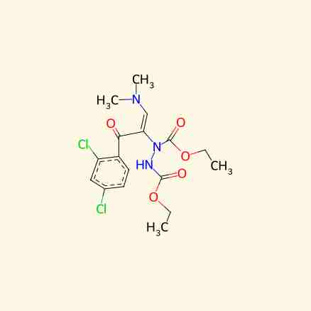 CCOC(=O)NN(C(=O)OCC)/C(=C/N(C)C)C(=O)c1ccc(Cl)cc1Cl